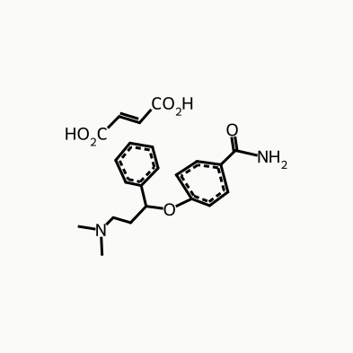 CN(C)CCC(Oc1ccc(C(N)=O)cc1)c1ccccc1.O=C(O)C=CC(=O)O